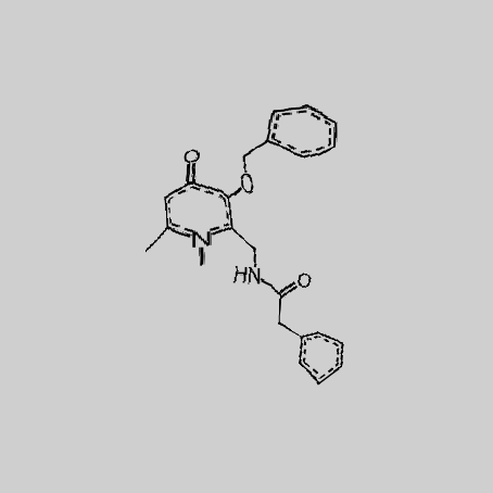 Cc1cc(=O)c(OCc2ccccc2)c(CNC(=O)Cc2ccccc2)n1C